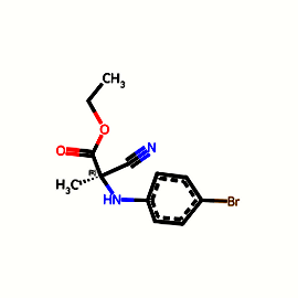 CCOC(=O)[C@@](C)(C#N)Nc1ccc(Br)cc1